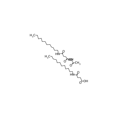 CC(=O)O.CCCCCCCCCCCCNC(=O)CCC(=O)O.CCCCCCCCCCCCNC(=O)CCC(=O)O